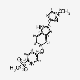 Cn1ccc(-c2cc3c([nH]2)=CCC(Oc2ccc(S(C)(=O)=O)nc2)C=3)n1